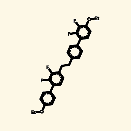 CCOc1ccc(-c2ccc(CCc3ccc(-c4ccc(OCC)c(F)c4F)cc3)c(F)c2F)cc1